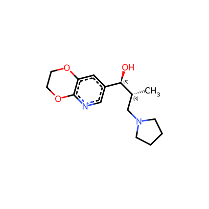 C[C@H](CN1CCCC1)[C@H](O)c1cnc2c(c1)OCCO2